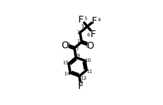 O=C(CC(F)(F)F)C(=O)c1ccc(F)cc1